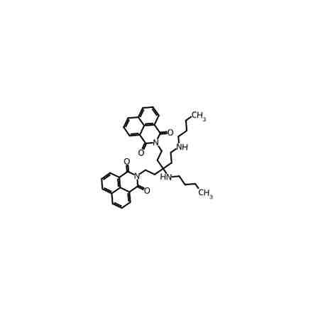 CCCCNCCC(CCN1C(=O)c2cccc3cccc(c23)C1=O)(CCN1C(=O)c2cccc3cccc(c23)C1=O)NCCCC